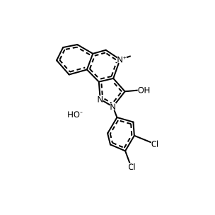 C[n+]1cc2ccccc2c2nn(-c3ccc(Cl)c(Cl)c3)c(O)c21.[OH-]